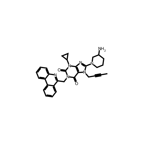 CC#CCn1c(N2CCCC(N)C2)nc2c1c(=O)n(Cc1nc3ccccc3c3ccccc13)c(=O)n2C1CC1